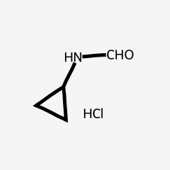 Cl.O=CNC1CC1